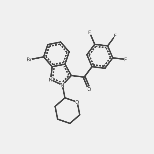 O=C(c1cc(F)c(F)c(F)c1)c1c2cccc(Br)c2nn1C1CCCCO1